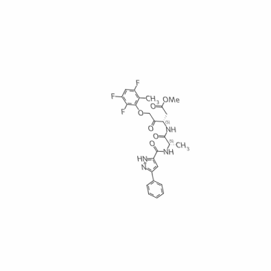 COC(=O)C[C@H](NC(=O)[C@H](C)NC(=O)c1cc(-c2ccccc2)n[nH]1)C(=O)COc1c(C)c(F)cc(F)c1F